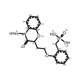 CCCCCCN1C(=O)C(CCOc2ccccc2CP(=O)(O)O)Oc2ccccc21